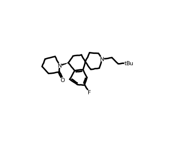 CC(C)(C)CCN1CCC2(CC[C@H](N3CCCCC3=O)c3ccc(F)cc32)CC1